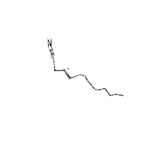 CCCCCC[CH]CC#N